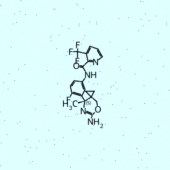 C[C@]1(c2cc(NC(=O)c3ncccc3C(F)(F)F)ccc2F)N=C(N)OCC12CC2